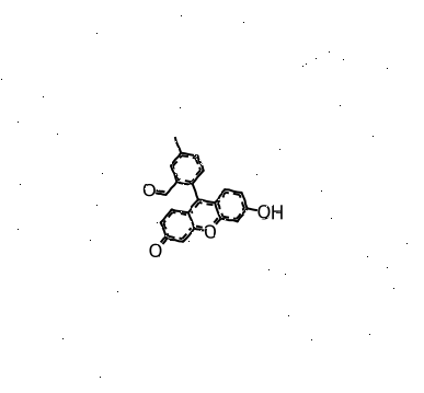 Cc1ccc(-c2c3ccc(=O)cc-3oc3cc(O)ccc23)c(C=O)c1